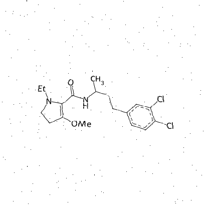 CCN1CCC(OC)=C1C(=O)NC(C)CCc1ccc(Cl)c(Cl)c1